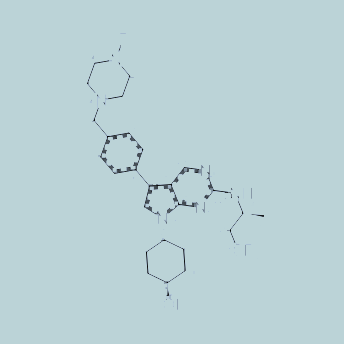 CCN1CCN(Cc2ccc(-c3cn([C@H]4CC[C@H](O)CC4)c4nc(N[C@@H](C)CC(F)(F)F)ncc34)cc2)CC1